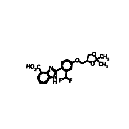 CC1(C)OCC(COc2ccc(-c3nc4c(C(=O)O)cccc4[nH]3)c(C(F)F)c2)O1